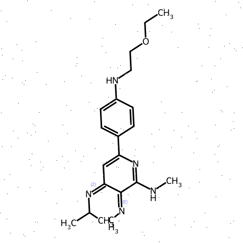 CCOCCNc1ccc(C2=CC(=N/C(C)C)/C(=N\C)C(NC)=N2)cc1